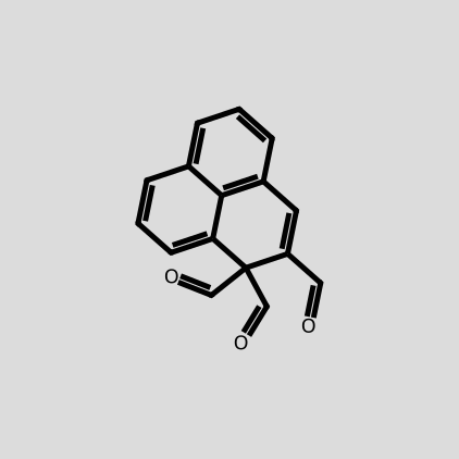 O=CC1=Cc2cccc3cccc(c23)C1(C=O)C=O